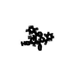 O=C(OCc1ccccc1)[C@@H]1C[C@@H](O)CN1C(=O)c1ccccc1